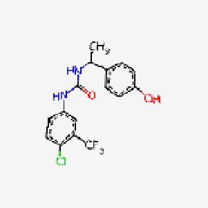 CC(NC(=O)Nc1ccc(Cl)c(C(F)(F)F)c1)c1ccc(O)cc1